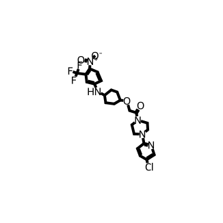 O=C(COC1CCC(Nc2ccc([N+](=O)[O-])c(C(F)(F)F)c2)CC1)N1CCN(c2ccc(Cl)cn2)CC1